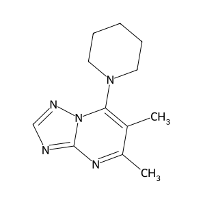 Cc1nc2ncnn2c(N2CCCCC2)c1C